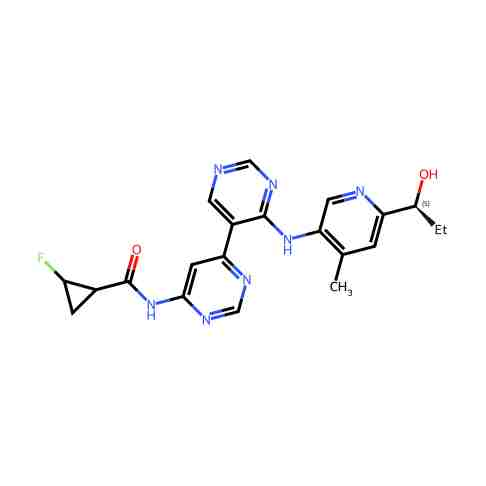 CC[C@H](O)c1cc(C)c(Nc2ncncc2-c2cc(NC(=O)C3CC3F)ncn2)cn1